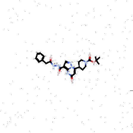 CC(C)(C)OC(=O)N1CCC(c2cc(=O)[nH]c3c(C(=O)NNC(=O)Cc4ccccc4)cnn23)CC1